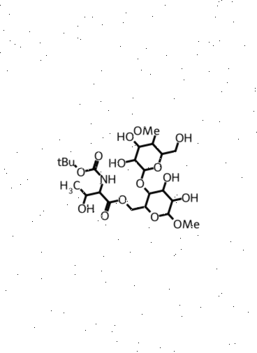 COC1OC(COC(=O)C(NC(=O)OC(C)(C)C)C(C)O)C(OC2OC(CO)C(OC)C(O)C2O)C(O)C1O